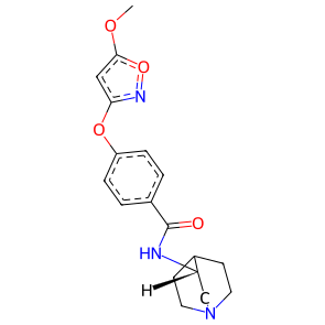 COc1cc(Oc2ccc(C(=O)N[C@H]3CN4CCC3CC4)cc2)no1